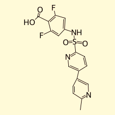 Cc1ccc(-c2ccc(S(=O)(=O)Nc3cc(F)c(C(=O)O)c(F)c3)nc2)cn1